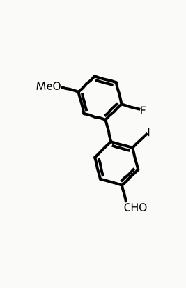 COc1ccc(F)c(-c2ccc(C=O)cc2I)c1